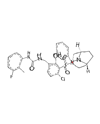 Cc1c(F)cccc1NC(=O)Nc1ccc(Cl)c(S(=O)(=O)N2C[C@H]3CC[C@H](C2)N3Cc2ccccc2)c1O